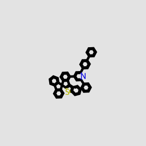 c1ccc(-c2ccc(-c3cc(-c4cccc5c4-c4c(sc6ccccc46)C54c5ccccc5-c5ccccc54)cc(-c4ccccc4)n3)cc2)cc1